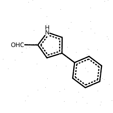 O=Cc1cc(-c2ccccc2)c[nH]1